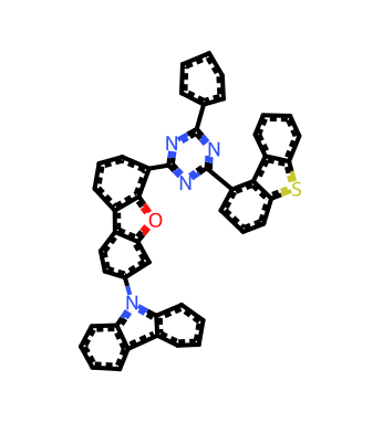 c1ccc(-c2nc(-c3cccc4c3oc3cc(-n5c6ccccc6c6ccccc65)ccc34)nc(-c3cccc4sc5ccccc5c34)n2)cc1